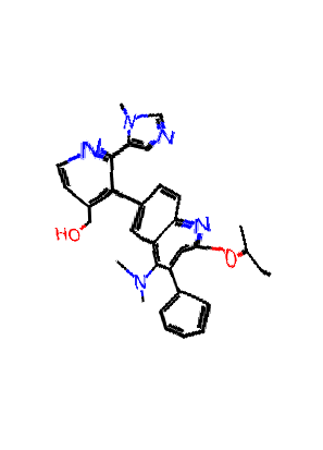 CC(C)Oc1nc2ccc(-c3c(CO)ccnc3-c3cncn3C)cc2c(N(C)C)c1-c1ccccc1